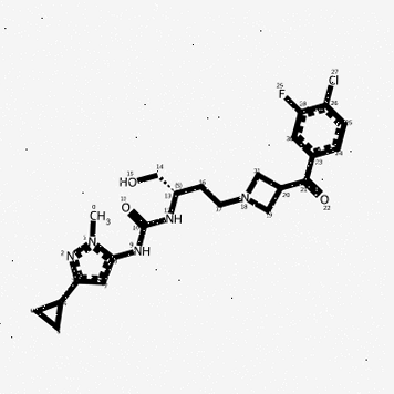 Cn1nc(C2CC2)cc1NC(=O)N[C@H](CO)CCN1CC(C(=O)c2ccc(Cl)c(F)c2)C1